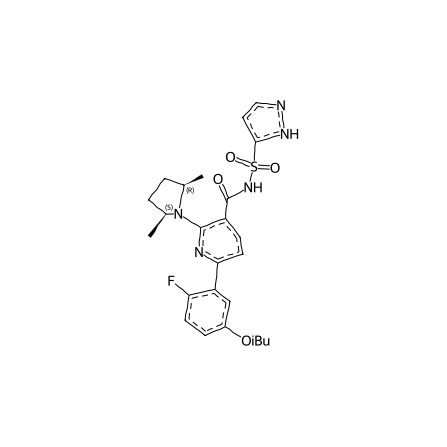 CC(C)COc1ccc(F)c(-c2ccc(C(=O)NS(=O)(=O)c3ccn[nH]3)c(N3[C@H](C)CC[C@@H]3C)n2)c1